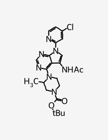 CC(=O)Nc1cn(-c2cc(Cl)ccn2)c2ncnc(N3CCN(C(=O)OC(C)(C)C)CC3C)c12